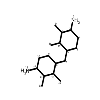 CC1C(N)CCC(CC2CCC(N)C(C)C2C)C1C